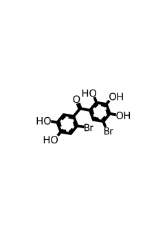 O=C(c1cc(O)c(O)cc1Br)c1cc(Br)c(O)c(O)c1O